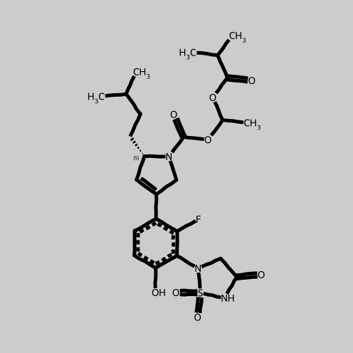 CC(C)CC[C@H]1C=C(c2ccc(O)c(N3CC(=O)NS3(=O)=O)c2F)CN1C(=O)OC(C)OC(=O)C(C)C